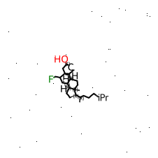 CC(C)CCC[C@@H](C)[C@H]1CC[C@H]2[C@@H]3CC(CF)C4=C(CC[C@H](O)C4)[C@H]3CC[C@]12C